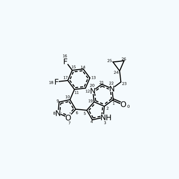 O=c1c2[nH]cc(-c3oncc3-c3cccc(F)c3F)c2ncn1CC1CC1